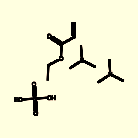 C=CC(=O)OCC.CN(C)C.CN(C)C.O=S(=O)(O)O